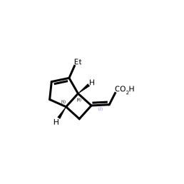 CCC1=CC[C@H]2C/C(=C/C(=O)O)[C@@H]12